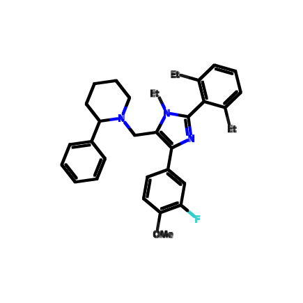 CCc1cccc(CC)c1-c1nc(-c2ccc(OC)c(F)c2)c(CN2CCCCC2c2ccccc2)n1CC